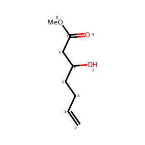 C=CCCC(O)CC(=O)OC